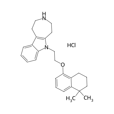 CC1(C)CCCc2c(OCCn3c4c(c5ccccc53)CCNCC4)cccc21.Cl